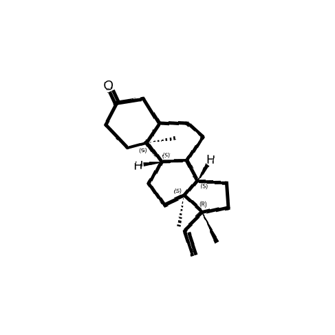 C=C[C@@]1(C)CC[C@H]2C3CCC4CC(=O)CC[C@]4(C)[C@H]3CC[C@@]21C